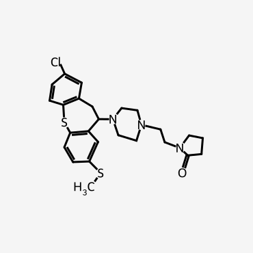 CSc1ccc2c(c1)C(N1CCN(CCN3CCCC3=O)CC1)Cc1cc(Cl)ccc1S2